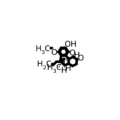 C=CC[N@@+]1(C)CC[C@]23c4c5c(OCC)cc(O)c4O[C@H]2C(=O)CC[C@H]3[C@H]1C5